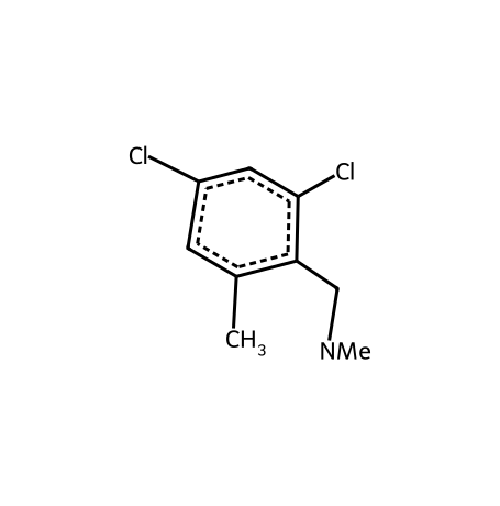 CNCc1c(C)cc(Cl)cc1Cl